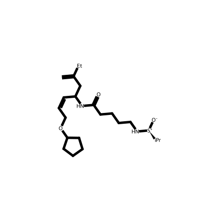 C=C(CC)CC(/C=C\COC1CCCC1)NC(=O)CCCCN[S@@+]([O-])C(C)C